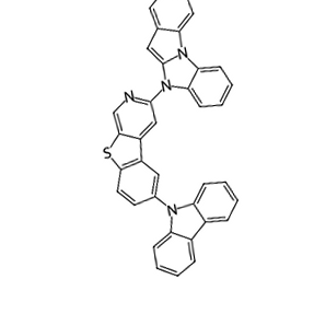 c1ccc2c(c1)cc1n(-c3cc4c(cn3)sc3ccc(-n5c6ccccc6c6ccccc65)cc34)c3ccccc3n21